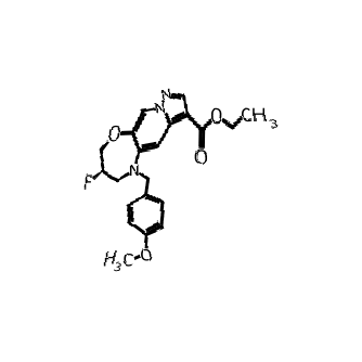 CCOC(=O)c1cnn2cc3c(cc12)N(Cc1ccc(OC)cc1)C[C@@H](F)CO3